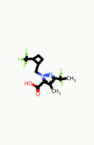 Cc1c(C(C)(F)F)nn(CC2CCC2C(F)(F)F)c1C(=O)O